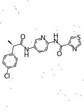 C[C@@H](C(=O)Nc1ccc(NC(=O)c2cscn2)nc1)c1ccc(Cl)cc1